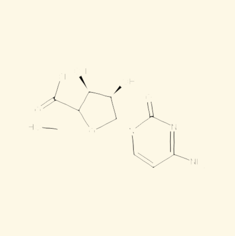 CC(=O)[C@]1(CO)O[C@@H](n2ccc(N)nc2=O)[C@H](O)[C@@H]1O